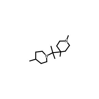 CC1CCN(C(C)(C)C2(C)CCN(C)CC2)CC1